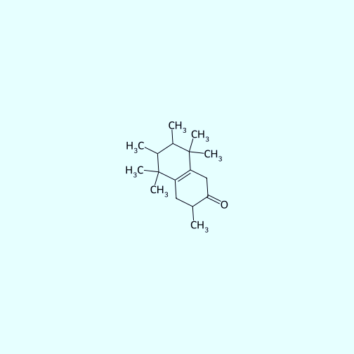 CC1CC2=C(CC1=O)C(C)(C)C(C)C(C)C2(C)C